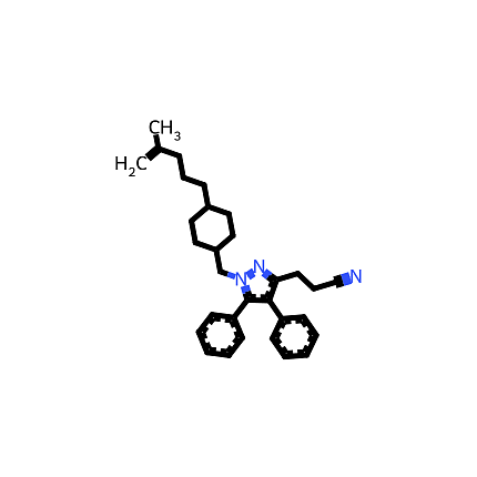 C=C(C)CCCC1CCC(Cn2nc(CCC#N)c(-c3ccccc3)c2-c2ccccc2)CC1